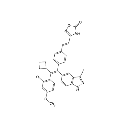 COc1ccc(C(=C(c2ccc(C=Cc3noc(=O)[nH]3)cc2)c2ccc3[nH]nc(F)c3c2)C2CCC2)c(Cl)c1